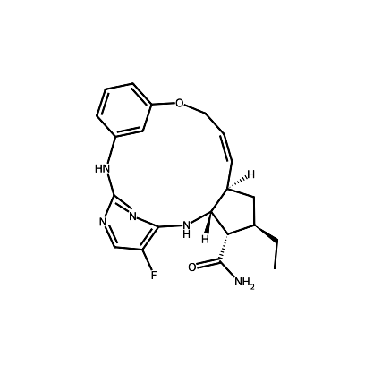 CC[C@@H]1C[C@@H]2/C=C\COc3cccc(c3)Nc3ncc(F)c(n3)N[C@H]2[C@H]1C(N)=O